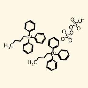 CCCC[P+](c1ccccc1)(c1ccccc1)c1ccccc1.CCCC[P+](c1ccccc1)(c1ccccc1)c1ccccc1.O=S(=O)([O-])OOS(=O)(=O)[O-]